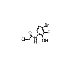 O=C(CCl)Nc1ccc(Br)c(F)c1O